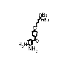 CCCCN(CCCC)CCCCOc1ccc(C(=O)c2ccc(N)c(N)c2)cc1